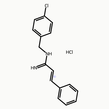 Cl.N=C(/C=C/c1ccccc1)NCc1ccc(Cl)cc1